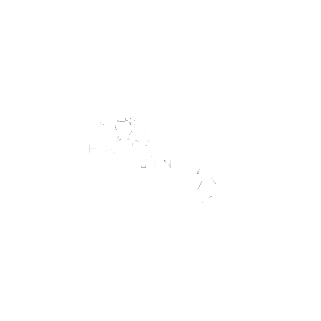 CCc1ccccc1OCCNCC(O)COc1c(C)ncc(CO)c1CO